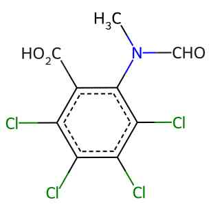 CN(C=O)c1c(Cl)c(Cl)c(Cl)c(Cl)c1C(=O)O